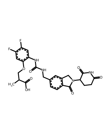 CC(COc1cc(F)c(F)cc1NC(=O)NCc1ccc2c(c1)CN(C1CCC(=O)NC1=O)C2=O)C(=O)O